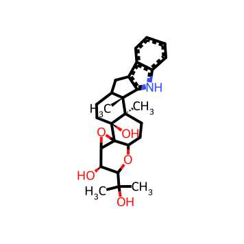 CC(C)(O)C1OC2CC[C@]3(C)[C@@]4(C)c5[nH]c6ccccc6c5CC4CC[C@@]3(O)C23OC3[C@@H]1O